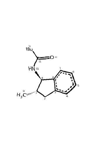 C[C@H]1Cc2ccccc2[C@@H]1NC(=O)C(C)(C)C